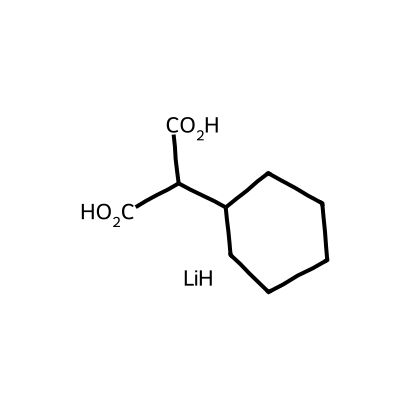 O=C(O)C(C(=O)O)C1CCCCC1.[LiH]